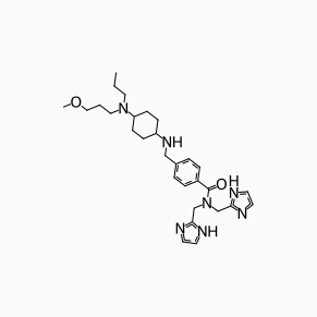 CCCN(CCCOC)C1CCC(NCc2ccc(C(=O)N(Cc3ncc[nH]3)Cc3ncc[nH]3)cc2)CC1